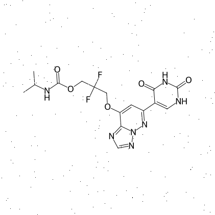 CC(C)NC(=O)OCC(F)(F)COc1cc(-c2c[nH]c(=O)[nH]c2=O)nn2ncnc12